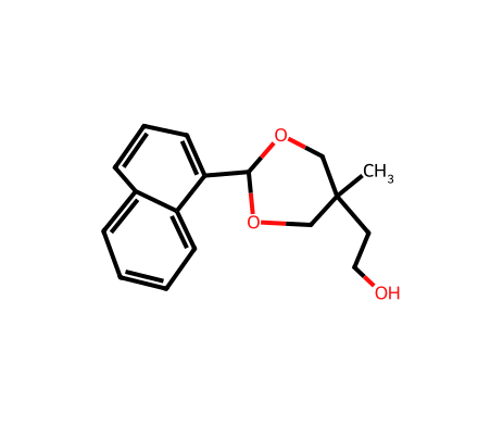 CC1(CCO)COC(c2cccc3ccccc23)OC1